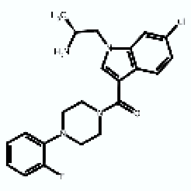 C[C@H](N)Cn1cc(C(=O)N2CCN(c3ccccc3F)CC2)c2ccc(Cl)cc21